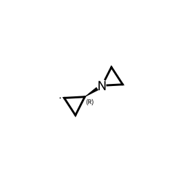 [CH]1C[C@@H]1N1CC1